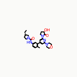 CC[C@@H]1CCN(C(=O)Nc2ccc(C)c(-c3cc(N4CCOCC4)nc(N4CCC(O)C4=O)c3)c2)C1